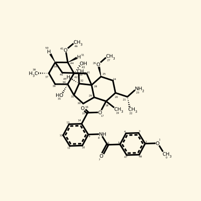 COc1ccc(C(=O)Nc2ccccc2C(=O)OC2(C)C([C@@H](C)N)C[C@H](OC)C34C2CC([C@H]3C)[C@@]2(O)C[C@H](C)[C@H]3CC4[C@]2(O)[C@H]3OC)cc1